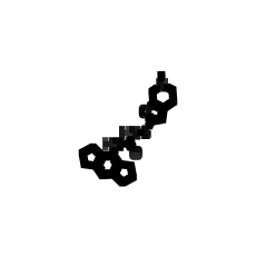 CN1CCc2cc(SNC(=O)Nc3c4c(cc5c3CCC5)CCC4)oc2C1